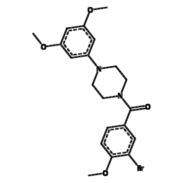 COc1cc(OC)cc(N2CCN(C(=O)c3ccc(OC)c(Br)c3)CC2)c1